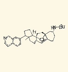 CC(C)(C)NC1CCC2=CC3=CCC4(C)C(c5ccc6ccncc6c5)CC[C@H]4[C@@]34CC[C@]2(C1)O4